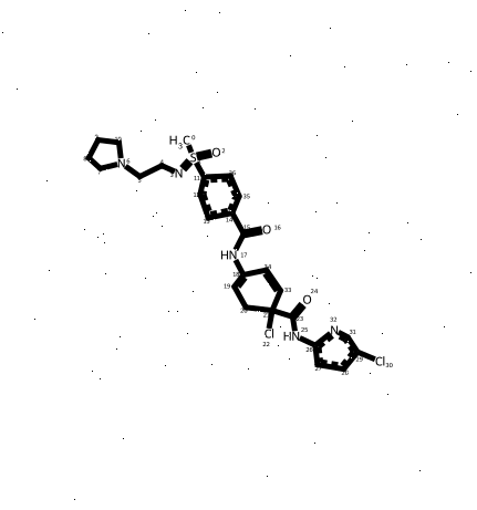 CS(=O)(=NCCN1CCCC1)c1ccc(C(=O)NC2=CCC(Cl)(C(=O)Nc3ccc(Cl)cn3)C=C2)cc1